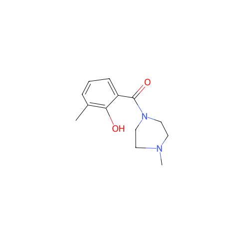 Cc1cccc(C(=O)N2CCN(C)CC2)c1O